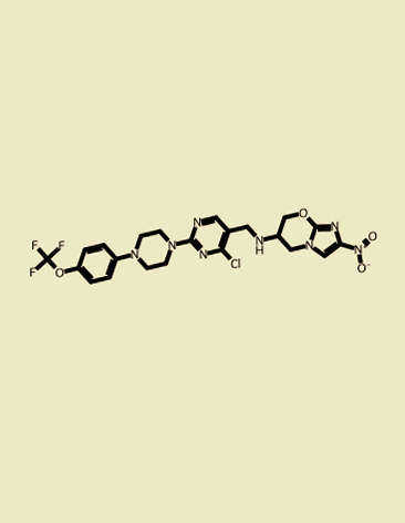 O=[N+]([O-])c1cn2c(n1)OCC(NCc1cnc(N3CCN(c4ccc(OC(F)(F)F)cc4)CC3)nc1Cl)C2